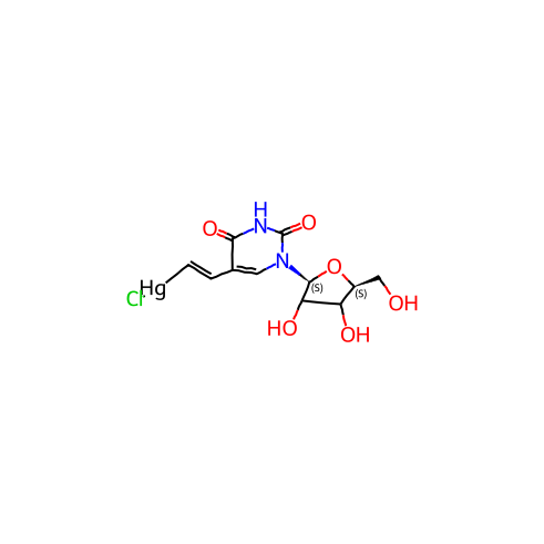 O=c1[nH]c(=O)n([C@H]2O[C@@H](CO)C(O)C2O)cc1C=[CH][Hg][Cl]